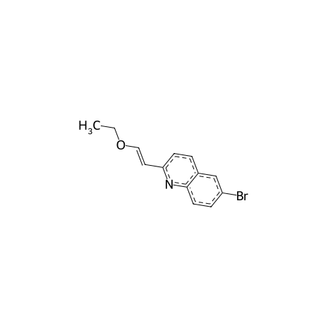 CCOC=Cc1ccc2cc(Br)ccc2n1